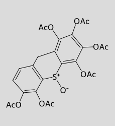 CC(=O)Oc1ccc2c(c1OC(C)=O)[S+]([O-])c1c(c(OC(C)=O)c(OC(C)=O)c(OC(C)=O)c1OC(C)=O)C2